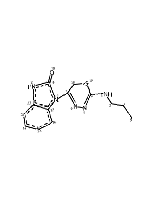 CCCNC1=NN=C(n2c(=O)[nH]c3ccccc32)CS1